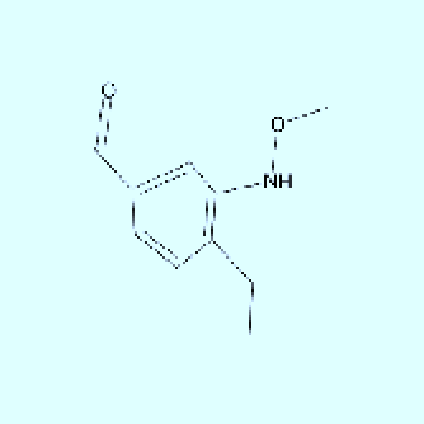 CCc1ccc(C=O)cc1NOC